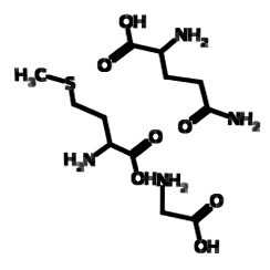 CSCCC(N)C(=O)O.NC(=O)CCC(N)C(=O)O.NCC(=O)O